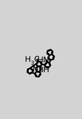 Cc1cc(-c2cccc3c2[nH]c2c4ccccc4ccc32)c2c3c1c1cccc4c5cccc(c5n3c41)B2